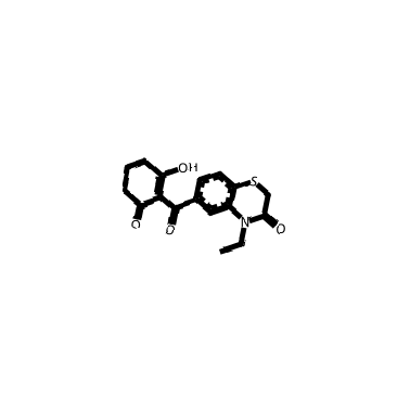 CCN1C(=O)CSc2ccc(C(=O)C3=C(O)CCCC3=O)cc21